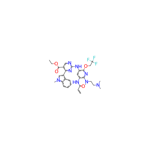 C=CC(=O)Nc1cc(Nc2ncc(C(=O)OCC)c(-c3cn(C)c4ccccc34)n2)c(OCC(F)(F)F)nc1N(C)CCN(C)C